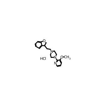 COc1cccnc1N1CCN(CCC2COc3ccccc32)CC1.Cl